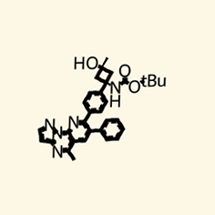 Cc1nc2ccnn2c2nc(-c3ccc([C@]4(NC(=O)OC(C)(C)C)C[C@](C)(O)C4)cc3)c(-c3ccccc3)cc12